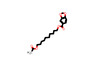 CC(=O)OCCCCCCCCCCOC(=O)c1ccc2c(c1)OCO2